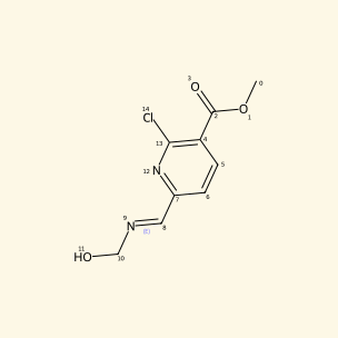 COC(=O)c1ccc(/C=N/CO)nc1Cl